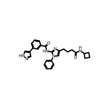 O=C(CCCc1cn(-c2ccccc2)c(NC(=O)c2cccc(-c3cn[nH]c3)c2)n1)NC1CCC1